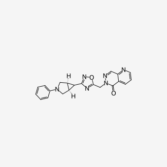 O=c1c2cccnc2cnn1Cc1nc(C2[C@H]3CN(c4ccccc4)C[C@@H]23)no1